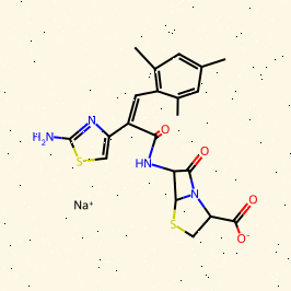 Cc1cc(C)c(/C=C(\C(=O)NC2C(=O)N3C(C(=O)[O-])CSC23)c2csc(N)n2)c(C)c1.[Na+]